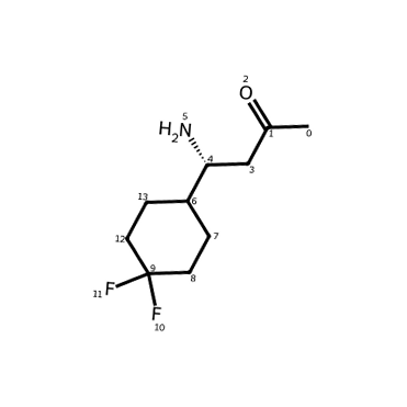 CC(=O)C[C@@H](N)C1CCC(F)(F)CC1